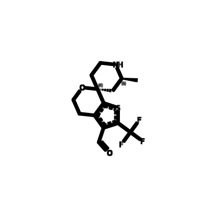 C[C@H]1C[C@@]2(CCN1)OCCc1c2sc(C(F)(F)F)c1C=O